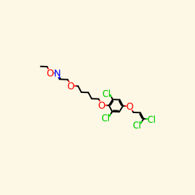 CCON=CCOCCCCCOc1c(Cl)cc(OCC=C(Cl)Cl)cc1Cl